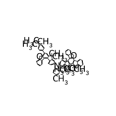 Cc1ccc(N(c2ccc3c(c2)C(C)(C)c2cc(-c4ccc(C(C)(C)C)cc4)c4oc5ccccc5c4c2-3)c2ccc3c(c2)C(C)(C)c2c4c(c5oc6ccccc6c5c2-3)-c2ccccc2C4(C)C)c(C)c1